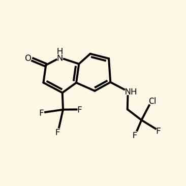 O=c1cc(C(F)(F)F)c2cc(NCC(F)(F)Cl)ccc2[nH]1